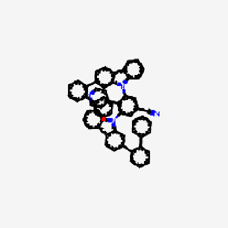 N#Cc1cc(-n2c3ccccc3c3ccc(-c4ccccc4-c4ccccc4)cc32)c(-c2ccncc2)c(-n2c3ccccc3c3ccc(-c4ccccc4-c4ccccc4)cc32)c1